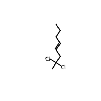 CCCC=CCC(C)(Cl)Cl